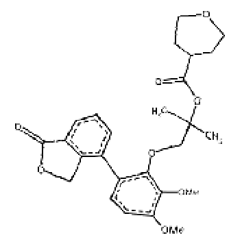 COc1ccc(-c2cccc3c2COC3=O)c(OCC(C)(C)OC(=O)C2CCOCC2)c1OC